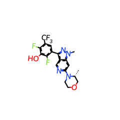 C[C@@H]1COCCN1c1cc2c(cn1)c(-c1cc(C(F)(F)F)c(F)c(O)c1F)nn2C